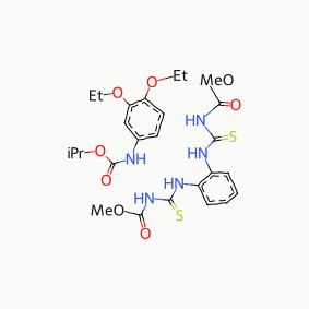 CCOc1ccc(NC(=O)OC(C)C)cc1OCC.COC(=O)NC(=S)Nc1ccccc1NC(=S)NC(=O)OC